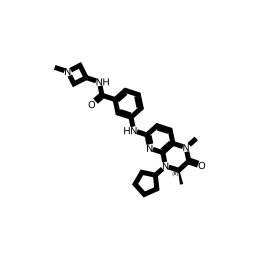 C[C@@H]1C(=O)N(C)c2ccc(Nc3cccc(C(=O)NC4CN(C)C4)c3)nc2N1C1CCCC1